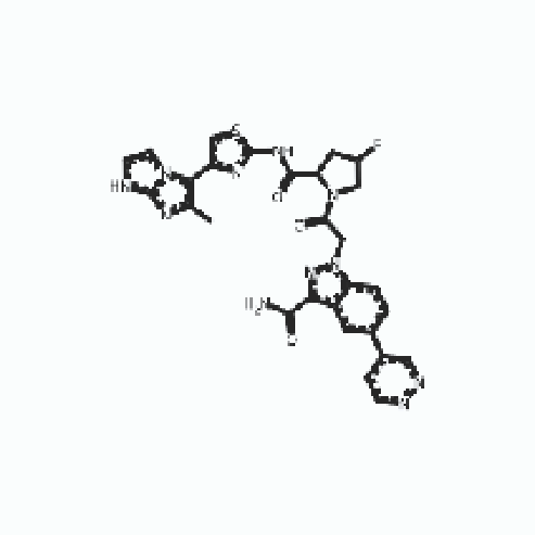 Cc1nc2[nH]ccn2c1-c1csc(NC(=O)C2CC(F)CN2C(=O)Cn2nc(C(N)=O)c3cc(-c4ccnnc4)ccc32)n1